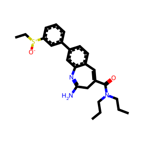 CCCN(CCC)C(=O)C1=Cc2ccc(-c3cccc([S+]([O-])CC)c3)cc2N=C(N)C1